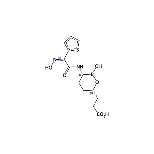 O=C(O)CC[C@@H]1CC[C@H](NC(=O)/C(=N\O)c2cccs2)B(O)O1